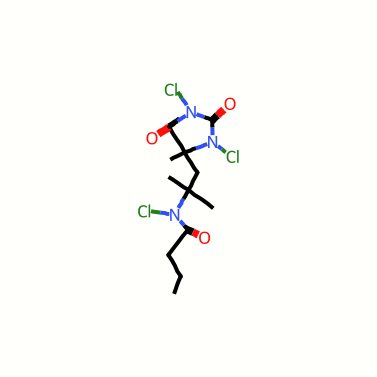 CCCC(=O)N(Cl)C(C)(C)CC1(C)C(=O)N(Cl)C(=O)N1Cl